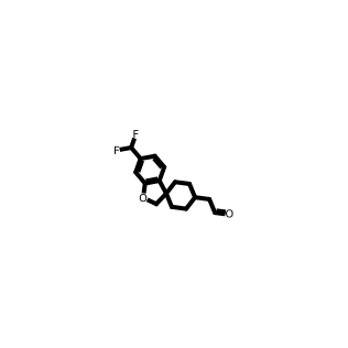 O=CCC1CCC2(CC1)COc1cc(C(F)F)ccc12